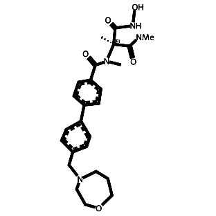 CNC(=O)[C@](C)(C(=O)NO)N(C)C(=O)c1ccc(-c2ccc(CN3CCCOCC3)cc2)cc1